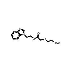 COCCOCC(=O)OCCn1cnc2ccccc21